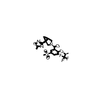 Cc1nc(C23CC2CN(C(=O)c2cc(S(C)(=O)=O)ccc2O[C@@H](C)C(F)(F)F)C3)no1